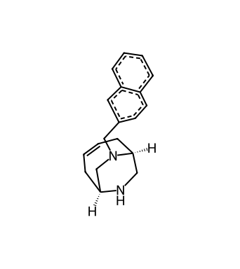 C1=CC[C@H]2CN[C@@H](C1)CN2Cc1ccc2ccccc2c1